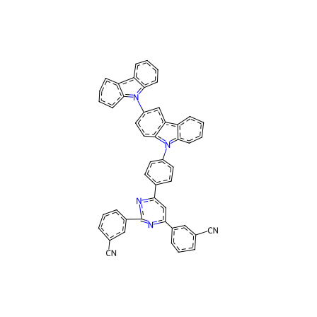 N#Cc1cccc(-c2cc(-c3ccc(-n4c5ccccc5c5cc(-n6c7ccccc7c7ccccc76)ccc54)cc3)nc(-c3cccc(C#N)c3)n2)c1